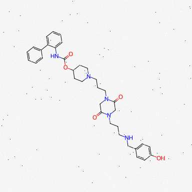 O=C(Nc1ccccc1-c1ccccc1)OC1CCN(CCCN2CC(=O)N(CCCNCc3ccc(O)cc3)CC2=O)CC1